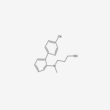 CN(CCCO)c1ccccc1-c1ccc(C#N)cc1